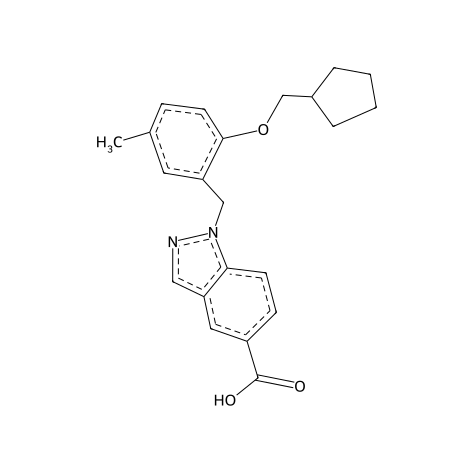 Cc1ccc(OCC2CCCC2)c(Cn2ncc3cc(C(=O)O)ccc32)c1